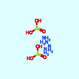 N.N.N.N.O=S(O)O.O=S(O)O